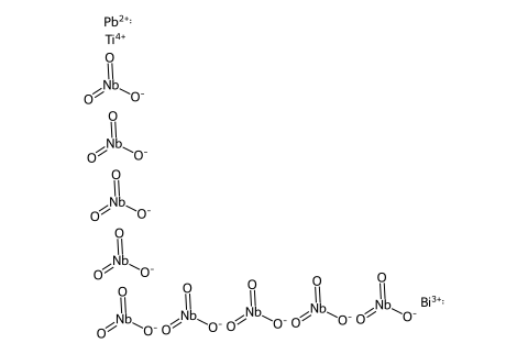 [Bi+3].[O]=[Nb](=[O])[O-].[O]=[Nb](=[O])[O-].[O]=[Nb](=[O])[O-].[O]=[Nb](=[O])[O-].[O]=[Nb](=[O])[O-].[O]=[Nb](=[O])[O-].[O]=[Nb](=[O])[O-].[O]=[Nb](=[O])[O-].[O]=[Nb](=[O])[O-].[Pb+2].[Ti+4]